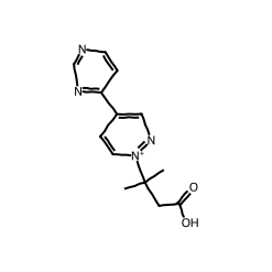 CC(C)(CC(=O)O)[n+]1ccc(-c2ccncn2)cn1